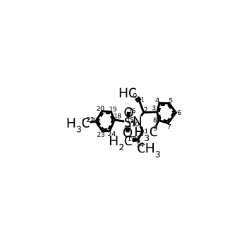 C#CC(c1ccccc1C)N(CC(=C)C)S(=O)(=O)c1ccc(C)cc1